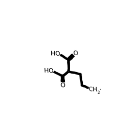 [CH2]CCC(C(=O)O)C(=O)O